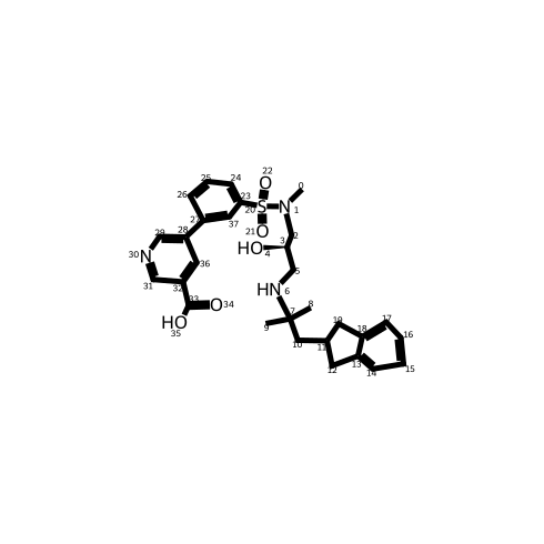 CN(C[C@H](O)CNC(C)(C)CC1Cc2ccccc2C1)S(=O)(=O)c1cccc(-c2cncc(C(=O)O)c2)c1